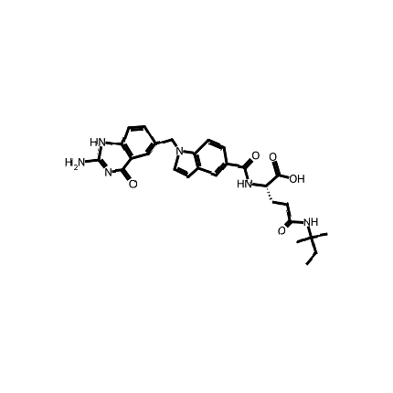 CCC(C)(C)NC(=O)CC[C@H](NC(=O)c1ccc2c(ccn2Cc2ccc3[nH]c(N)nc(=O)c3c2)c1)C(=O)O